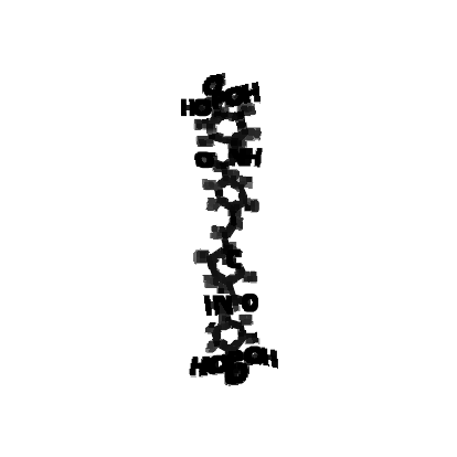 O=C(Nc1ccc(P(=O)(O)O)cc1)c1ccc(C=Cc2ccc(C(=O)Nc3ccc(P(=O)(O)O)cc3)cc2)cc1